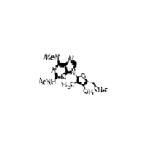 CNc1nc(NC(C)=O)nc2c1ncn2[C@@H]1O[C@H](COC(C)=O)[C@@H](O)[C@@H]1C